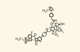 CCCS(=O)(=O)Nc1ccc(F)c(C(=O)c2c[nH]c3ncc(N4CCN(C(=O)CC(=O)N[C@H](C(=O)N5C[C@H](O)C[C@H]5C(=O)NCc5ccc(-c6scnc6C)cc5)C(C)(C)C)CC4)cc23)c1F